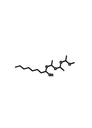 CCCCCCCC(O)OC(C)OC(C)OC(C)OC